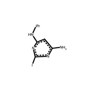 CC(C)Nc1cc(N)nc(I)n1